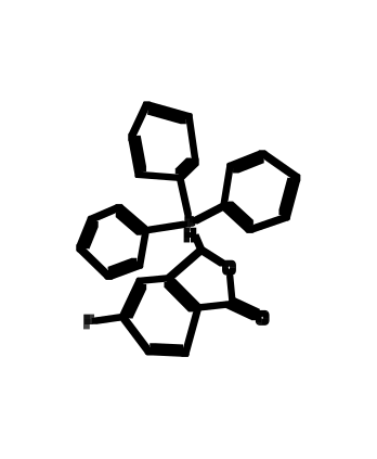 O=C1OC([PH](c2ccccc2)(c2ccccc2)c2ccccc2)c2cc(F)ccc21